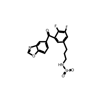 O=C(c1ccc2ocnc2c1)c1cc(CCCN[SH](=O)=O)cc(F)c1F